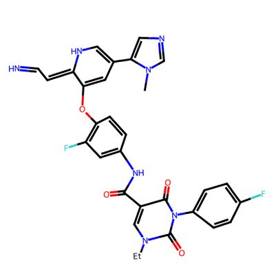 CCn1cc(C(=O)Nc2ccc(OC3=CC(c4cncn4C)=CN/C3=C\C=N)c(F)c2)c(=O)n(-c2ccc(F)cc2)c1=O